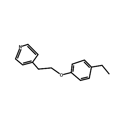 CCc1ccc(OCCc2ccncc2)cc1